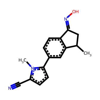 CC1CC(=NO)c2ccc(-c3ccc(C#N)n3C)cc21